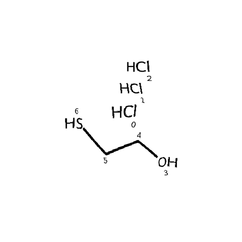 Cl.Cl.Cl.OCCS